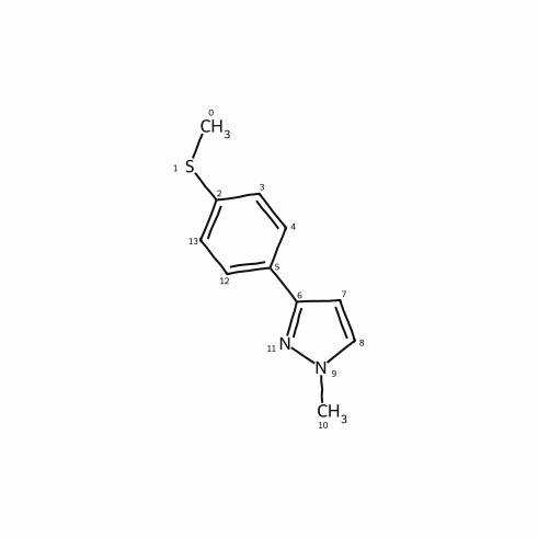 CSc1ccc(-c2ccn(C)n2)cc1